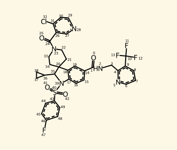 O=C(NCc1ncccc1C(F)(F)F)c1ccc2c(c1)C1(CCN(C(=O)c3cnccc3Cl)CC1)C(C1CC1)N2S(=O)(=O)c1ccc(F)cc1